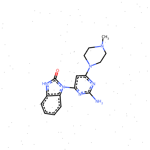 CN1CCN(c2cc(-n3c(=O)[nH]c4ccccc43)nc(N)n2)CC1